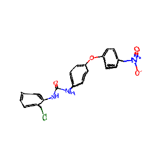 O=C(Nc1ccc(Oc2ccc([N+](=O)[O-])cc2)cc1)Nc1ccccc1Cl